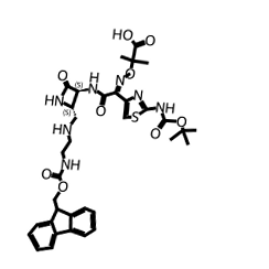 CC(C)(C)OC(=O)Nc1nc(C(=NOC(C)(C)C(=O)O)C(=O)N[C@@H]2C(=O)N[C@H]2CNCCNC(=O)OCC2c3ccccc3-c3ccccc32)cs1